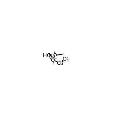 CC(=O)O.[Na+].[O-][Cl+][O-]